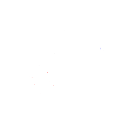 CCCCCCCCCCCCCCCC(=O)O[C@H](COC(=O)CCCCCCCCN)COP(=O)(O)OC1C(O)[C@@H](OP(=O)(O)O)C(OP(=O)(O)O)[C@@H](O)[C@H]1O